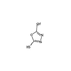 Sc1nnc(S)o1